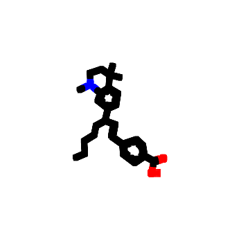 CCCCCC(C=Cc1ccc(C(=O)O)cc1)c1ccc2c(c1)N(C)CCC2(C)C